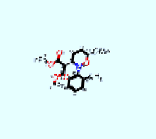 CCCOC(=O)C(C(=O)OCCC)[C@H]1CC[C@H](OC)ON1c1ccccc1C